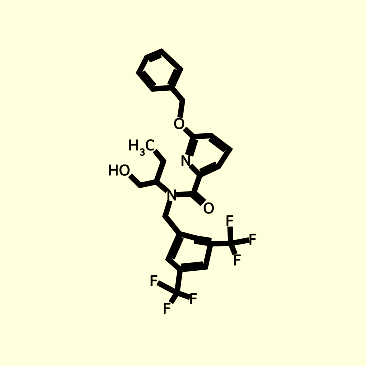 CCC(CO)N(Cc1cc(C(F)(F)F)cc(C(F)(F)F)c1)C(=O)c1cccc(OCc2ccccc2)n1